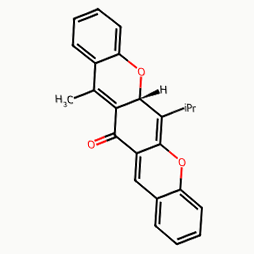 CC1=C2C(=O)C3=Cc4ccccc4OC3=C(C(C)C)[C@H]2Oc2ccccc21